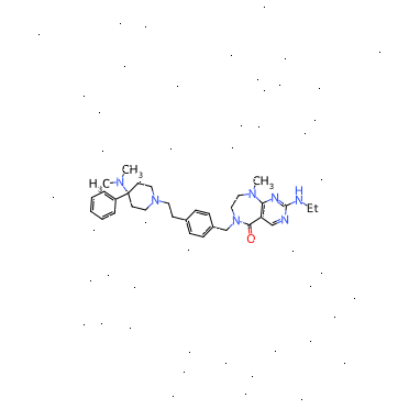 CCNc1ncc2c(n1)N(C)CCN(Cc1ccc(CCN3CCC(c4ccccc4)(N(C)C)CC3)cc1)C2=O